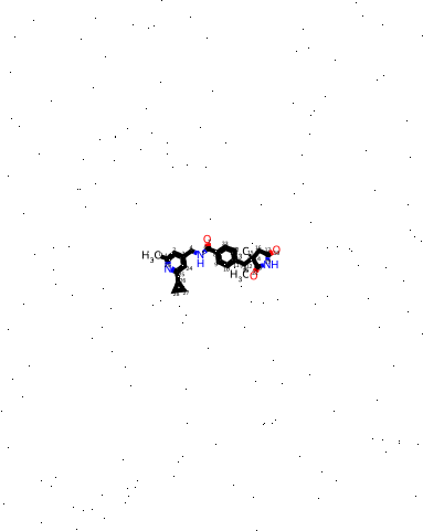 Cc1cc(CNC(=O)c2ccc([C@@H](C)[C@]3(C)CC(=O)NC3=O)cc2)cc(C2CC2)n1